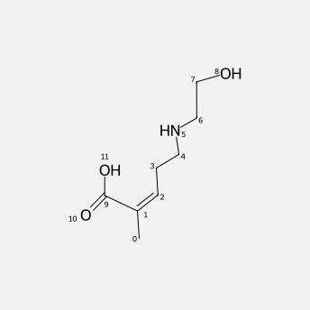 CC(=CCCNCCO)C(=O)O